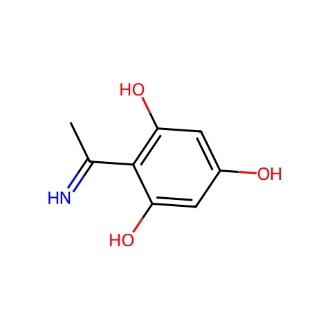 CC(=N)c1c(O)cc(O)cc1O